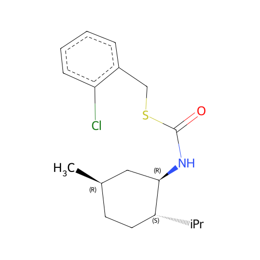 CC(C)[C@@H]1CC[C@@H](C)C[C@H]1NC(=O)SCc1ccccc1Cl